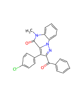 Cn1c(=O)c2c(-c3ccc(Cl)cc3)c(C(=O)c3ccccc3)nn2c2ccccc21